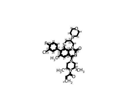 C=CC(=O)N1[C@H](C)CN(c2nc(=O)n3c4c(c(-c5ccc(F)c(Cl)c5)c(C)cc24)SC[C@@H](N2CCOCC2)C3)C[C@@H]1C